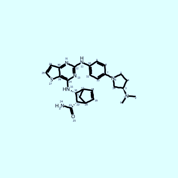 CN(C)[C@@H]1CCN(c2ccc(Nc3nc(N[C@@H]4C5C=CC(C5)[C@@H]4C(N)=O)c4sccc4n3)cc2)C1